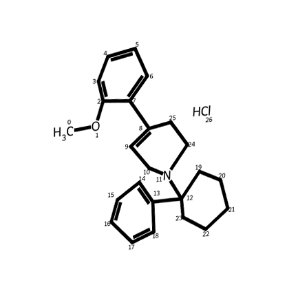 COc1ccccc1C1=CCN(C2(c3ccccc3)CCCCC2)CC1.Cl